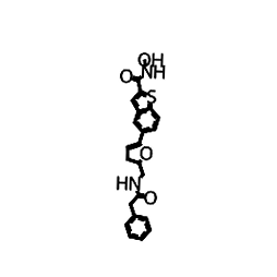 O=C(Cc1ccccc1)NCC1CC=C(c2ccc3sc(C(=O)NO)cc3c2)O1